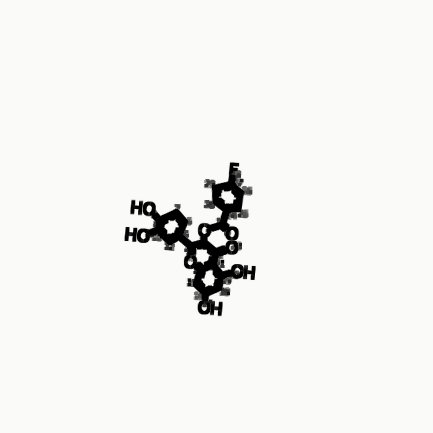 O=C(Oc1c(-c2ccc(O)c(O)c2)oc2cc(O)cc(O)c2c1=O)c1ccc(F)cc1